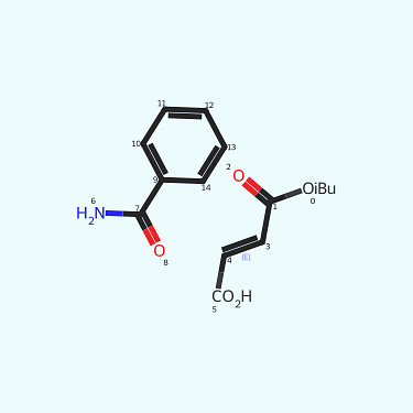 CC(C)COC(=O)/C=C/C(=O)O.NC(=O)c1ccccc1